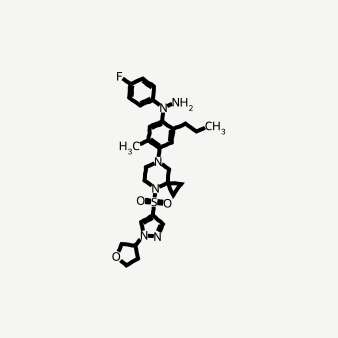 CCCc1cc(N2CCN(S(=O)(=O)c3cnn(C4CCOC4)c3)C3(CC3)C2)c(C)cc1N(N)c1ccc(F)cc1